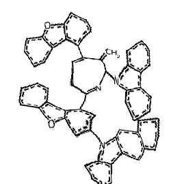 C=C1C(c2cccc3oc4ccccc4c23)=CCC(c2cc(-n3c4ccccc4c4cc5ccccc5cc43)cc3oc4ccccc4c23)=NC1n1c2ccccc2c2ccccc21